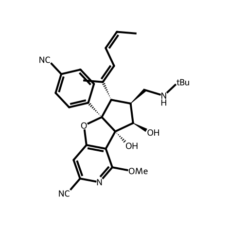 C/C=C\C=C(/C)[C@@H]1[C@@H](CNC(C)(C)C)[C@@H](O)[C@@]2(O)c3c(cc(C#N)nc3OC)O[C@@]12c1ccc(C#N)cc1